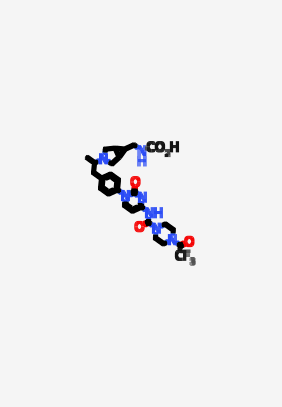 CC(Cc1ccc(-n2ccc(NC(=O)N3CCN(C(=O)C(F)(F)F)CC3)nc2=O)cc1)N1CC2C(CNC(=O)O)C2C1